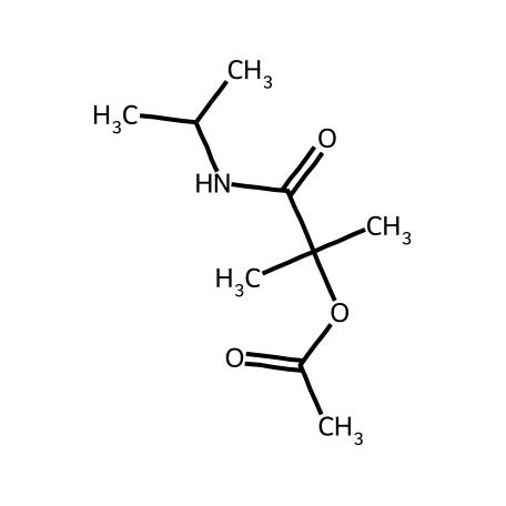 CC(=O)OC(C)(C)C(=O)NC(C)C